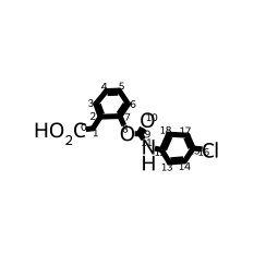 O=C(O)Cc1ccccc1OC(=O)Nc1ccc(Cl)cc1